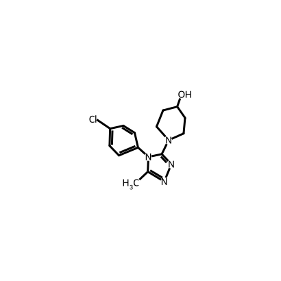 Cc1nnc(N2CCC(O)CC2)n1-c1ccc(Cl)cc1